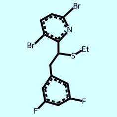 CCSC(Cc1cc(F)cc(F)c1)c1nc(Br)ccc1Br